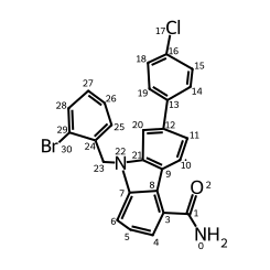 NC(=O)c1cccc2c1c1[c]cc(-c3ccc(Cl)cc3)cc1n2Cc1ccccc1Br